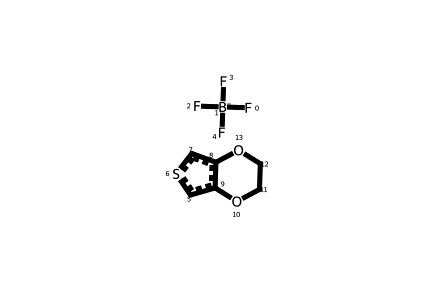 F[B-](F)(F)F.c1scc2c1OCCO2